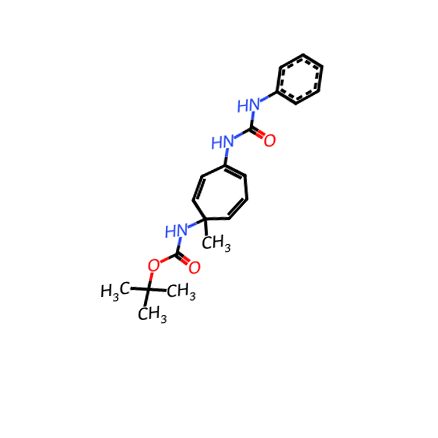 CC1(NC(=O)OC(C)(C)C)C=CC=C(NC(=O)Nc2ccccc2)C=C1